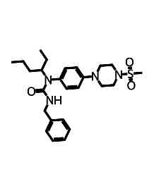 CCCC(CC)N(C(=O)NCc1ccccc1)c1ccc(N2CCN(S(C)(=O)=O)CC2)cc1